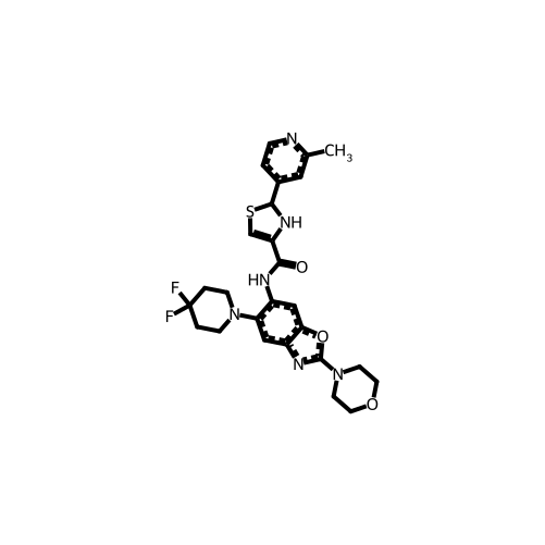 Cc1cc(C2NC(C(=O)Nc3cc4oc(N5CCOCC5)nc4cc3N3CCC(F)(F)CC3)=CS2)ccn1